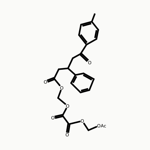 CC(=O)OCOC(=O)C(=O)OCOC(=O)CC(CC(=O)c1ccc(C)cc1)c1ccccc1